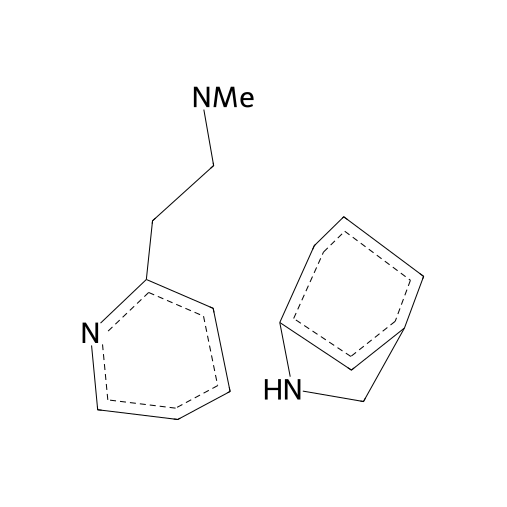 CNCCc1ccccn1.c1cc2cc(c1)NC2